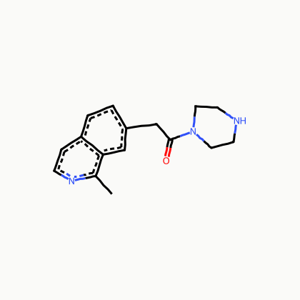 Cc1nccc2ccc(CC(=O)N3CCNCC3)cc12